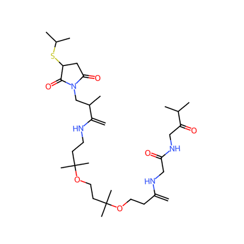 C=C(CCOC(C)(C)CCOC(C)(C)CCNC(=C)C(C)CN1C(=O)CC(SC(C)C)C1=O)NCC(=O)NCC(=O)C(C)C